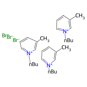 CCCC[n+]1cccc(C)c1.CCCC[n+]1cccc(C)c1.CCCC[n+]1cccc(C)c1.[Br-].[Br-].[Br-]